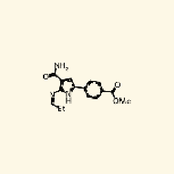 CC/C=N\c1[nH]c(-c2ccc(C(=O)OC)cc2)cc1C(N)=O